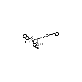 O=C(OC(CNCCCCCCOCCCCc1ccccc1)c1ccc(O)c(CO)c1)c1cc2ccccc2cc1O